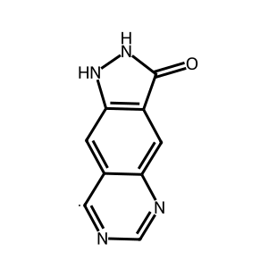 O=c1[nH][nH]c2cc3[c]ncnc3cc12